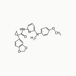 COc1ccc(N(C)c2cccc(NC(=O)C3(c4ccc5c(c4)OCO5)CC3)n2)cc1